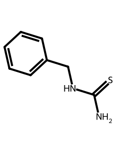 NC(=S)NCc1ccccc1